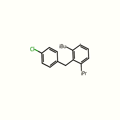 CCC(C)c1[c]ccc(C(C)C)c1Cc1ccc(Cl)cc1